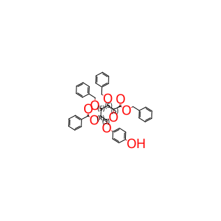 O=C(O[C@H]1[C@H](Oc2ccc(O)cc2)O[C@H](C(=O)OCc2ccccc2)[C@@H](OCc2ccccc2)[C@@H]1OCc1ccccc1)c1ccccc1